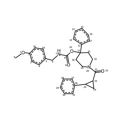 COc1ccc(CNC(=O)OC2(c3ccccc3)CCN(C(=O)C3CC3c3ccccc3)CC2)cc1